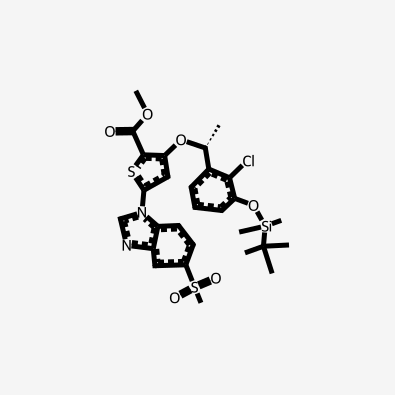 COC(=O)c1sc(-n2cnc3cc(S(C)(=O)=O)ccc32)cc1O[C@H](C)c1cccc(O[Si](C)(C)C(C)(C)C)c1Cl